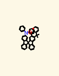 CC1(C)c2ccccc2C(=O)c2cc3c(cc21)-c1ccccc1C31c2ccccc2-c2ccc(N(c3ccccc3)c3ccccc3)cc21